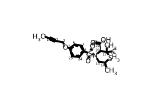 CC#CCOc1ccc(S(=O)(=O)N2CC(C)SC(C)(C)[C@@H]2C(=O)O)cc1